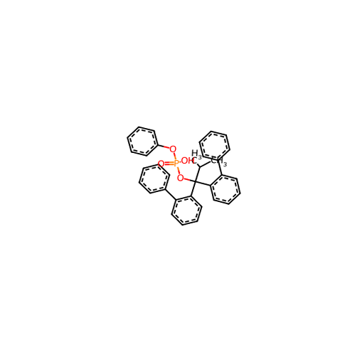 CC(C)C(OP(=O)(O)Oc1ccccc1)(c1ccccc1-c1ccccc1)c1ccccc1-c1ccccc1